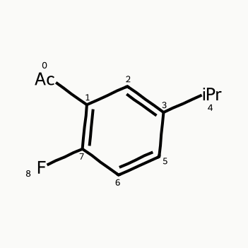 CC(=O)c1cc(C(C)C)ccc1F